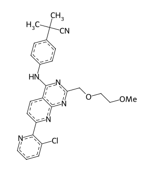 COCCOCc1nc(Nc2ccc(C(C)(C)C#N)cc2)c2ccc(-c3ncccc3Cl)nc2n1